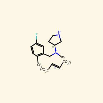 CC(C)N(Cc1cc(F)ccc1C(F)(F)F)[C@H]1CCNC1.O=C(O)/C=C/C(=O)O